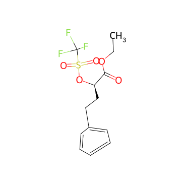 CCOC(=O)[C@@H](CCc1ccccc1)OS(=O)(=O)C(F)(F)F